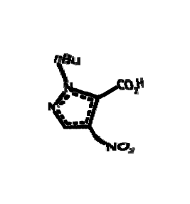 CCCCn1ncc([N+](=O)[O-])c1C(=O)O